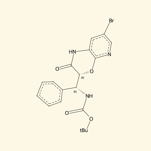 CC(C)(C)OC(=O)N[C@H](c1ccccc1)[C@H]1Oc2ncc(Br)cc2NC1=O